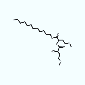 CCCCCCCCCCCCOC(=O)C(CCSC)OC(=O)C(O)CCSC